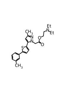 CCN(CC)CCOC(=O)Cn1nc(C)cc1-c1ccc(-c2cccc(C)c2)s1